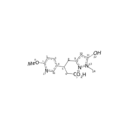 COc1ccc(C(CC(=O)O)Cc2cc(O)n(C)n2)cn1